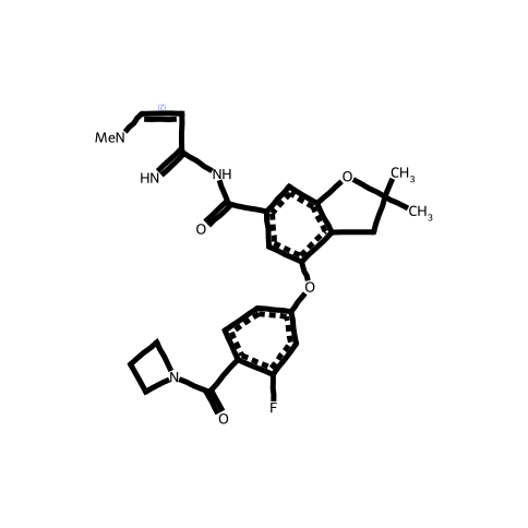 CN/C=C\C(=N)NC(=O)c1cc(Oc2ccc(C(=O)N3CCC3)c(F)c2)c2c(c1)OC(C)(C)C2